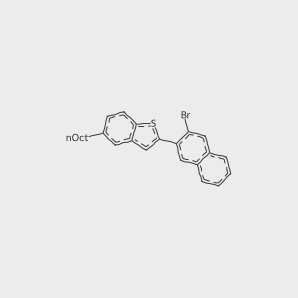 CCCCCCCCc1ccc2sc(-c3cc4ccccc4cc3Br)cc2c1